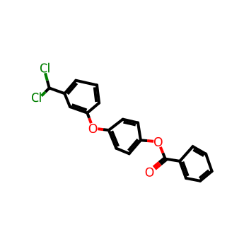 O=C(Oc1ccc(Oc2cccc(C(Cl)Cl)c2)cc1)c1ccccc1